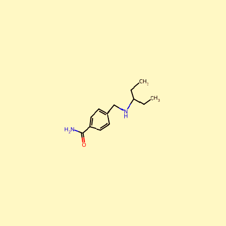 CCC(CC)NCc1ccc(C(N)=O)cc1